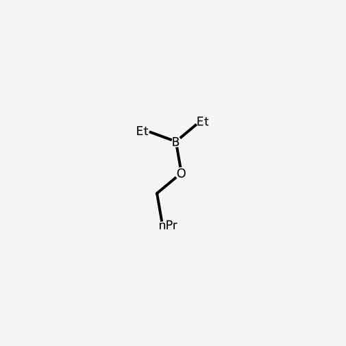 CCCCOB(CC)CC